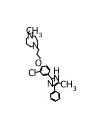 Cc1[nH]c(-c2ccc(OCCCN3CCCN(C)CC3)c(Cl)c2)nc1-c1ccccc1